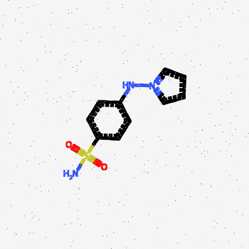 NS(=O)(=O)c1ccc(Nn2cccc2)cc1